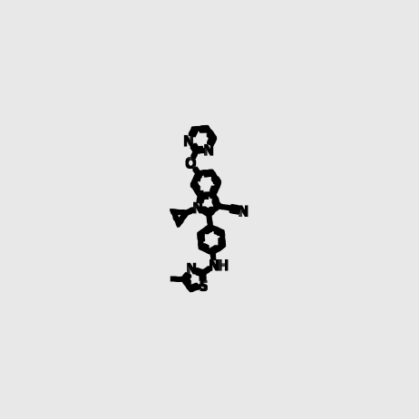 Cc1csc(Nc2ccc(-c3c(C#N)c4ccc(Oc5ncccn5)cc4n3C3CC3)cc2)n1